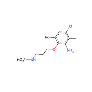 CC(=O)c1cc(Cl)c(C)c(N)c1OCCCNC(=O)O